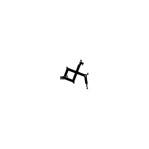 CC(C)C1(OI)CNC1